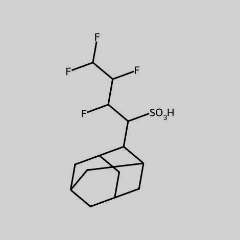 O=S(=O)(O)C(C(F)C(F)C(F)F)C1C2CC3CC(C2)CC1C3